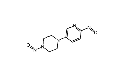 O=Nc1ccc(N2CCN(N=O)CC2)cn1